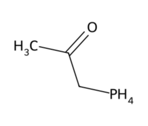 CC(=O)C[PH4]